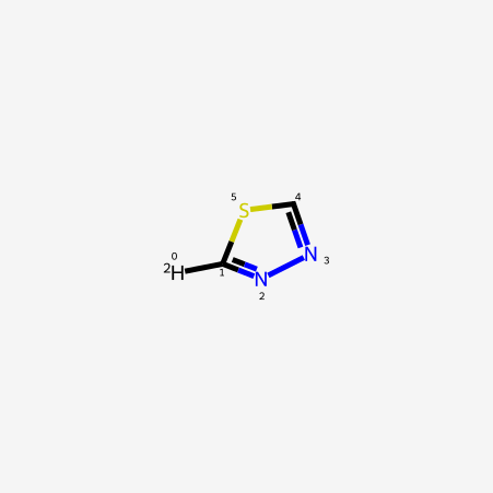 [2H]c1nncs1